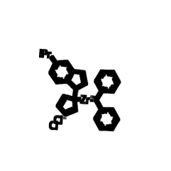 CC(C)c1ccc2c(c1)C=CC2[C]1([Zr+2]=[C](c2ccccc2)c2ccccc2)C=CC=C1.[Cl-].[Cl-]